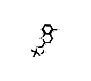 CC1(C)OC[C@@H]([C@@H]2CCc3c(F)cccc3O2)O1